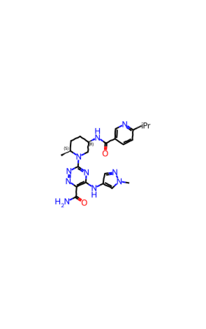 CC(C)c1ccc(C(=O)N[C@@H]2CC[C@H](C)N(c3nnc(C(N)=O)c(Nc4cnn(C)c4)n3)C2)cn1